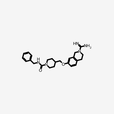 N=C(N)N1CCc2ccc(OCC3CCN(C(=O)NCc4ccccc4)CC3)cc2C1